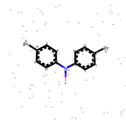 CC(C)c1ccc(N(I)c2ccc(C(C)C)cc2)cc1